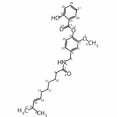 COc1cc(CNC(=O)CCCCC/C=C/C(C)C)ccc1OC(=O)c1ccccc1O